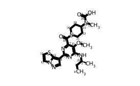 CC[C@H](C)Nc1nc(-c2cnn3ccsc23)nc(C(=O)N2CCC(N(C)C(=O)O)CC2)c1OC